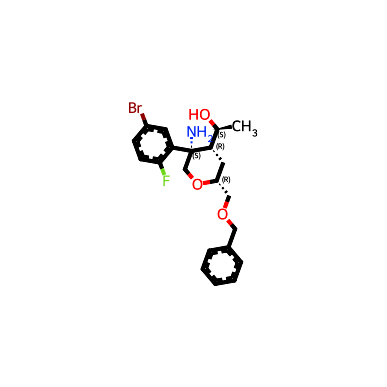 C[C@H](O)[C@@H]1C[C@H](COCc2ccccc2)OC[C@@]1(N)c1cc(Br)ccc1F